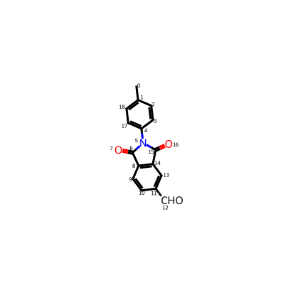 Cc1ccc(N2C(=O)c3ccc(C=O)cc3C2=O)cc1